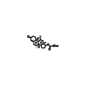 CCCCCCCCCCC(=O)O[C@H]1CC[C@H]2[C@H]3[C@H]([C@@H](F)C[C@]12C)[C@H]1CCC(=O)C=C1C[C@H]3C